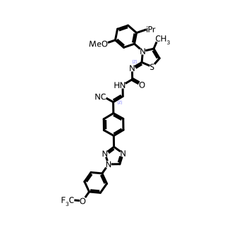 COc1ccc(C(C)C)c(-n2c(C)cs/c2=N\C(=O)N/C=C(\C#N)c2ccc(-c3ncn(-c4ccc(OC(F)(F)F)cc4)n3)cc2)c1